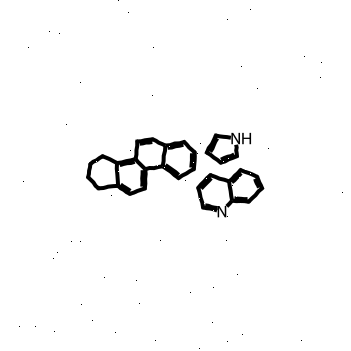 c1cc[nH]c1.c1ccc2c(c1)ccc1c3c(ccc12)CCCC3.c1ccc2ncccc2c1